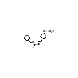 O=C(O)NC1CCN(CCNC(=O)OCc2ccccc2)CC1